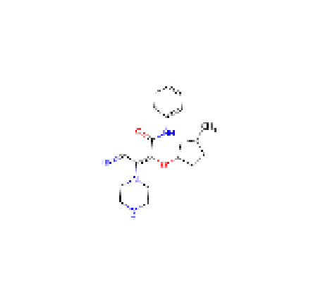 CC1CCC(O/C(C(=O)Nc2ccccc2)=C(/C=N)N2CCNCC2)C1